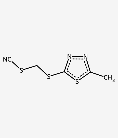 Cc1nnc(SCSC#N)s1